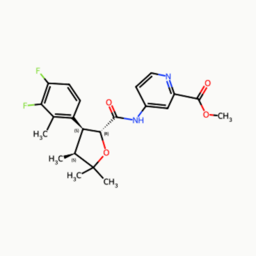 COC(=O)c1cc(NC(=O)[C@@H]2OC(C)(C)[C@@H](C)[C@H]2c2ccc(F)c(F)c2C)ccn1